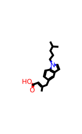 CC(=CC(=O)O)Cc1ccc2c(ccn2CCCC(C)C)c1